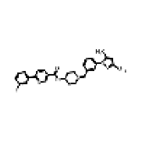 Cc1cc(C)n(-c2cccc(CN3CCC(NC(=O)c4ccc(-c5cccc(F)c5)nc4)CC3)c2)n1